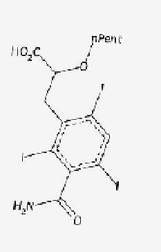 CCCCCOC(Cc1c(I)cc(I)c(C(N)=O)c1I)C(=O)O